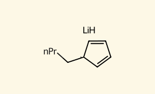 CCCC[C]1C=CC=C1.[LiH]